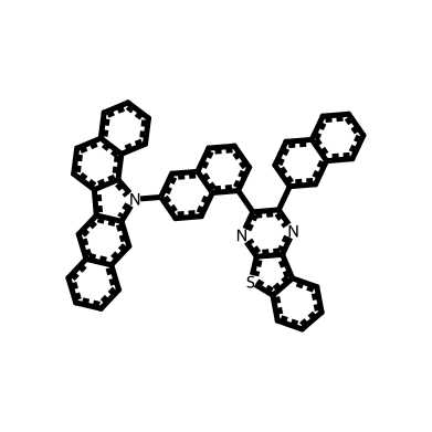 c1ccc2cc(-c3nc4c(nc3-c3cccc5cc(-n6c7cc8ccccc8cc7c7ccc8ccccc8c76)ccc35)sc3ccccc34)ccc2c1